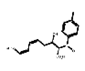 CCCCCC/C=C\C=C/C[C@@H](O)[C@H](C(=O)O)[S+]([O-])c1ccc(C)cc1